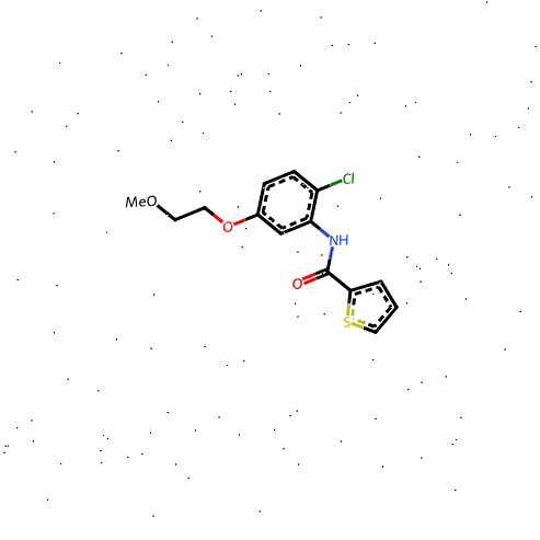 COCCOc1ccc(Cl)c(NC(=O)c2cccs2)c1